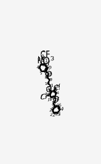 FC(F)(F)c1nc2ccc(OCCCCOc3c(Cl)cc(OCc4ccccc4)cc3Cl)cc2o1